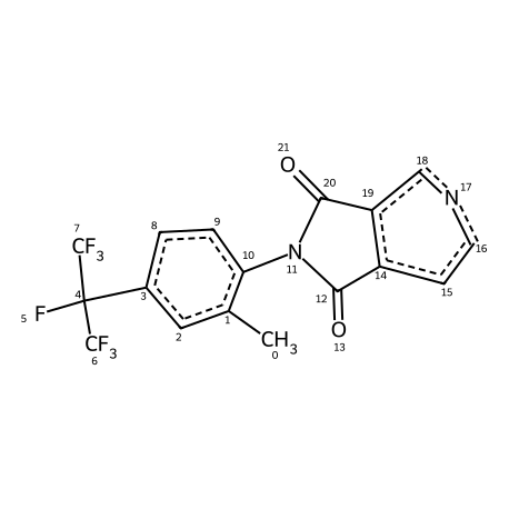 Cc1cc(C(F)(C(F)(F)F)C(F)(F)F)ccc1N1C(=O)c2ccncc2C1=O